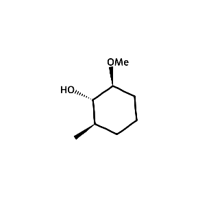 CO[C@H]1CCC[C@@H](C)[C@@H]1O